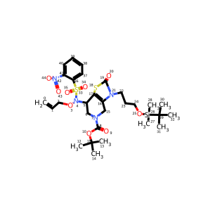 C=CCON(C1CN(C(=O)OC(C)(C)C)Cc2c1sc(=O)n2CCCO[Si](C)(C)C(C)(C)C)S(=O)(=O)c1ccccc1[N+](=O)[O-]